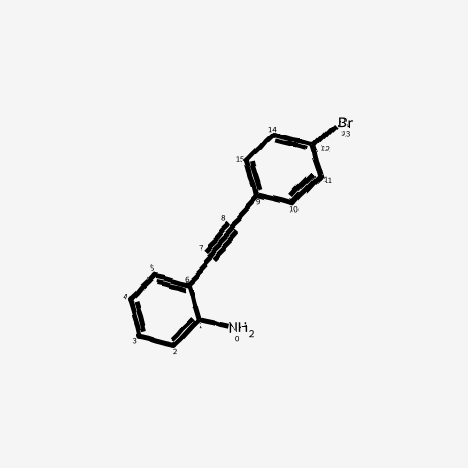 Nc1ccccc1C#Cc1ccc(Br)cc1